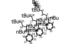 CCCC[N+](CCCC)(CCCC(C)(C)C)c1ccccc1.CCCC[N+](CCCC)(CCCC(C)(C)C)c1ccccc1.CCCC[N+](CCCC)(CCCC(C)(C)C)c1ccccc1.[Br-].[Br-].[Br-]